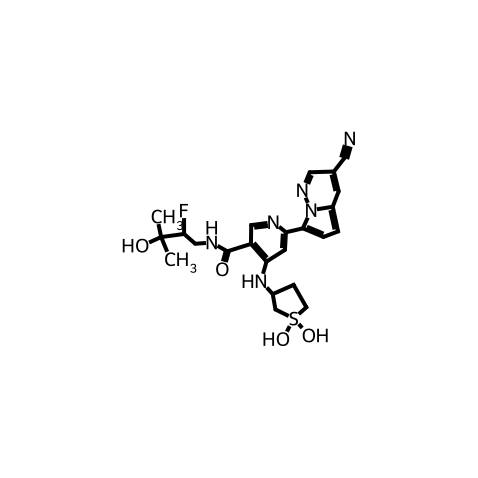 CC(C)(O)C(F)CNC(=O)c1cnc(-c2ccc3cc(C#N)cnn23)cc1NC1CCS(O)(O)C1